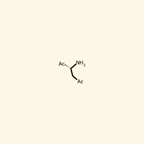 CC(=O)C[C@@H](N)C(C)=O